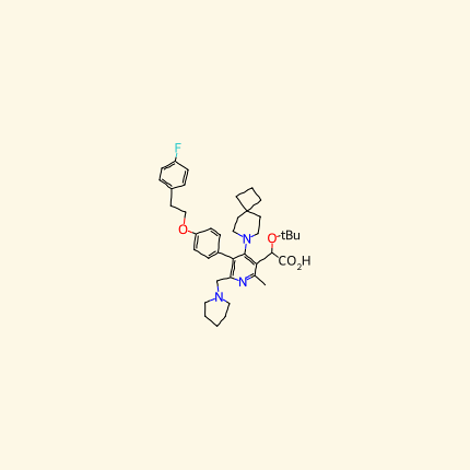 Cc1nc(CN2CCCCC2)c(-c2ccc(OCCc3ccc(F)cc3)cc2)c(N2CCC3(CCC3)CC2)c1C(OC(C)(C)C)C(=O)O